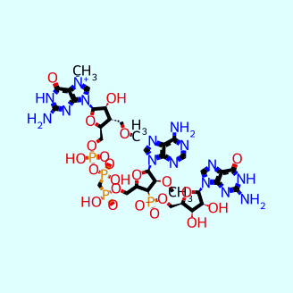 COC[C@H]1[C@@H](O)[C@H](n2c[n+](C)c3c(=O)[nH]c(N)nc32)O[C@@H]1COP(=O)(O)OP(=O)(O)CP(=O)(O)OCC1O[C@@H](n2cnc3c(N)ncnc32)[C@H](OC)[C@@H]1P(=O)([O-])OC[C@H]1O[C@@H](n2cnc3c(=O)[nH]c(N)nc32)[C@H](O)[C@@H]1O